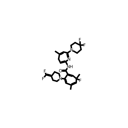 CC1=CC(C)(F)C=C(C(=O)NC2=CCC(C)=CC(N3CCC(F)(F)CC3)=N2)C(N2CCC(=C(F)F)CC2)=C1